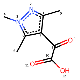 Cc1nn(C)c(C)c1C(=O)C(=O)O